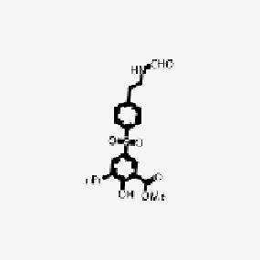 CCCc1cc(S(=O)(=O)c2ccc(CCNC=O)cc2)cc(C(=O)OC)c1O